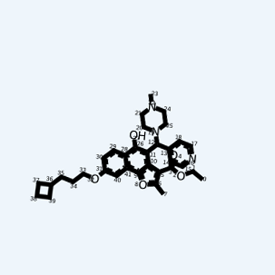 CCOC(=O)c1c(C)oc2c1c(C(c1ccncc1)N1CCN(C)CC1)c(O)c1ccc(OCCCC3CCC3)cc12